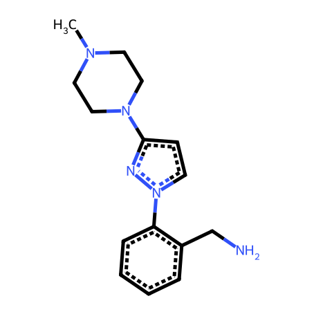 CN1CCN(c2ccn(-c3ccccc3CN)n2)CC1